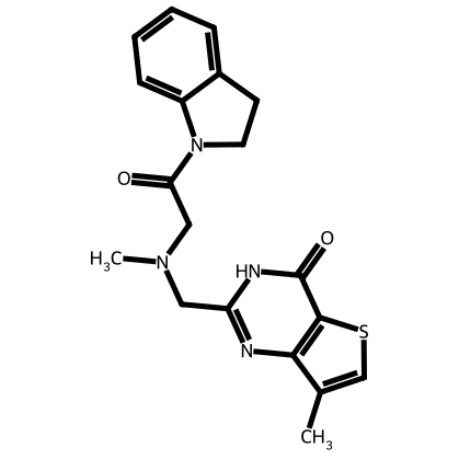 Cc1csc2c(=O)[nH]c(CN(C)CC(=O)N3CCc4ccccc43)nc12